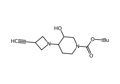 C#CC1CN(C2CCN(C(=O)OC(C)(C)C)CC2O)C1